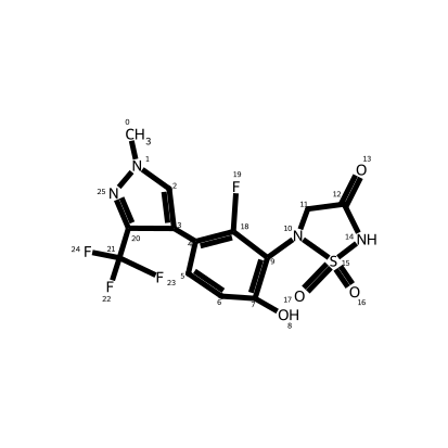 Cn1cc(-c2ccc(O)c(N3CC(=O)NS3(=O)=O)c2F)c(C(F)(F)F)n1